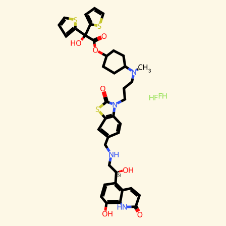 CN(CCCn1c(=O)sc2cc(CNC[C@@H](O)c3ccc(O)c4[nH]c(=O)ccc34)ccc21)C1CCC(OC(=O)C(O)(c2cccs2)c2cccs2)CC1.F.F